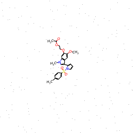 COc1cc2c(-c3cccn3S(=O)(=O)c3ccc(C)cc3)cn(C)c2cc1OCCOC(C)=O